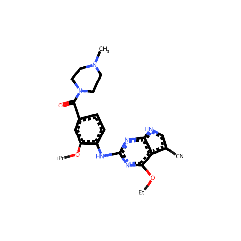 CCOc1nc(Nc2ccc(C(=O)N3CCN(C)CC3)cc2OC(C)C)nc2[nH]cc(C#N)c12